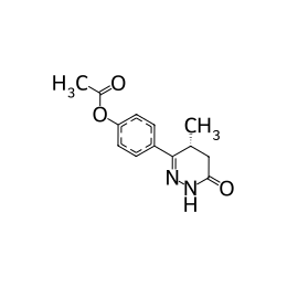 CC(=O)Oc1ccc(C2=NNC(=O)C[C@H]2C)cc1